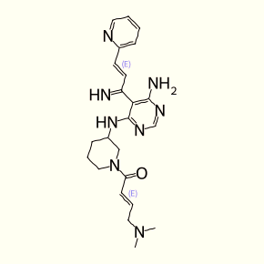 CN(C)C/C=C/C(=O)N1CCCC(Nc2ncnc(N)c2C(=N)/C=C/c2ccccn2)C1